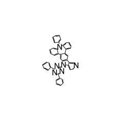 c1ccc(-c2nc(-c3ccccc3)nc(-n3c4ccncc4c4cc5c(cc43)-c3ccccc3N(c3ccccc3)c3ccccc3-5)n2)cc1